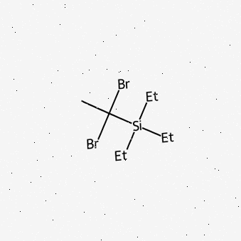 CC[Si](CC)(CC)C(C)(Br)Br